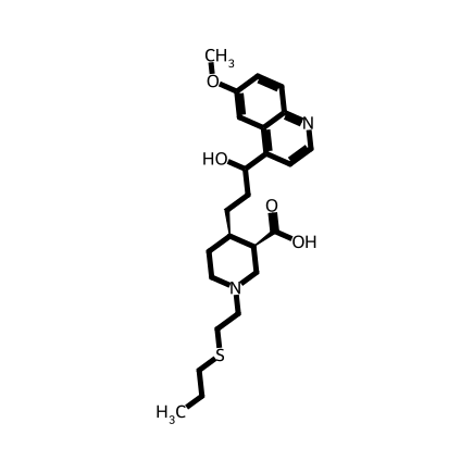 CCCSCCN1CC[C@@H](CCC(O)c2ccnc3ccc(OC)cc23)[C@@H](C(=O)O)C1